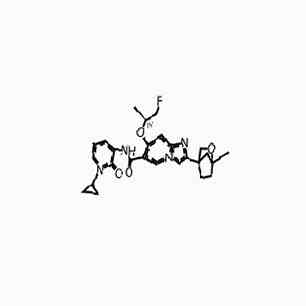 C[C@@H](CF)Oc1cc2nc(C34CCC(C)(C3)OC4)cn2cc1C(=O)Nc1cccn(C2CC2)c1=O